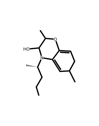 CCC[C@H](C)N1C2=CC(C)CC=C2OC(C)C1O